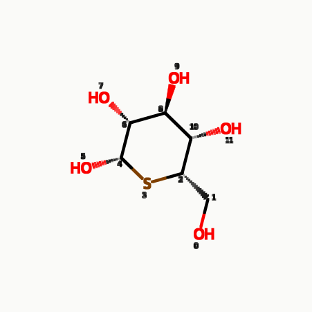 OC[C@@H]1S[C@H](O)[C@H](O)[C@@H](O)[C@@H]1O